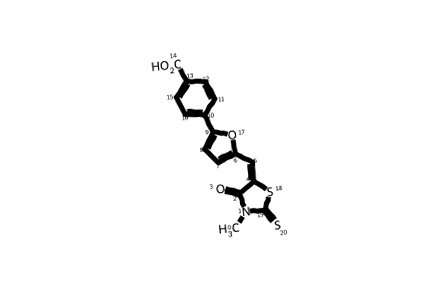 CN1C(=O)/C(=C\c2ccc(-c3ccc(C(=O)O)cc3)o2)SC1=S